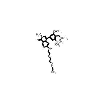 COc1cc(-c2cn(C)c(=O)c3cnc(NCCOCCOCCN)cc23)cc(OC)c1CN(C)C